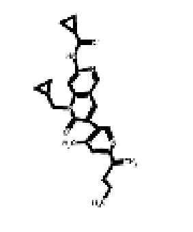 C=C(CCC)c1cc(C)c(-c2cc3cnc(NC(=O)C4CC4)cc3n(CC3CC3)c2=O)cn1